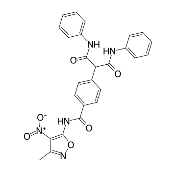 Cc1noc(NC(=O)c2ccc(C(C(=O)Nc3ccccc3)C(=O)Nc3ccccc3)cc2)c1[N+](=O)[O-]